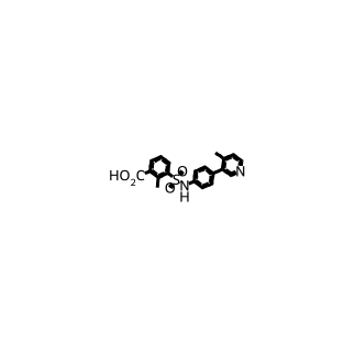 Cc1ccncc1-c1ccc(NS(=O)(=O)c2cccc(C(=O)O)c2C)cc1